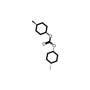 C[C@H]1CC[C@@H](OC(=O)O[C@H]2CC[C@@H](C)CC2)CC1